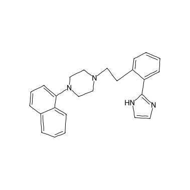 c1ccc(-c2ncc[nH]2)c(CCN2CCN(c3cccc4ccccc34)CC2)c1